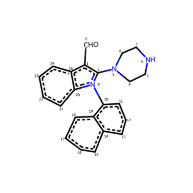 O=Cc1c(N2CCNCC2)n(-c2cccc3ccccc23)c2ccccc12